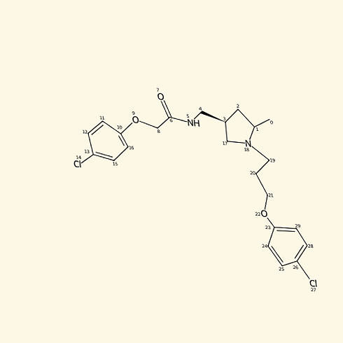 CC1C[C@H](CNC(=O)COc2ccc(Cl)cc2)CN1CCCOc1ccc(Cl)cc1